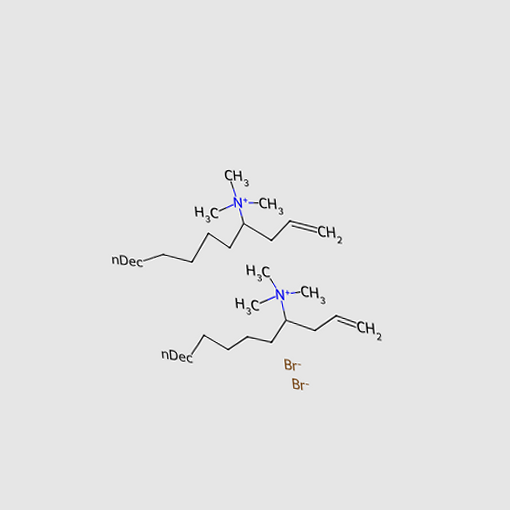 C=CCC(CCCCCCCCCCCCCC)[N+](C)(C)C.C=CCC(CCCCCCCCCCCCCC)[N+](C)(C)C.[Br-].[Br-]